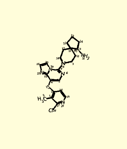 Cc1c(Sc2cnc(N3CCC4(CCC[C@H]4N)CC3)n3ccnc23)ccnc1Cl